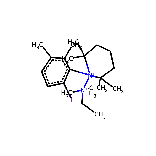 CC[N+](C)(C)[N+]1(c2c(I)ccc(C)c2C)C(C)(C)CCCC1(C)C